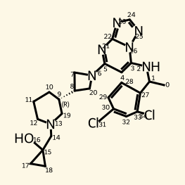 CC(Nc1cc(N2CC([C@H]3CCCN(CC4(O)CC4)C3)C2)nc2ncnn12)c1ccc(Cl)cc1Cl